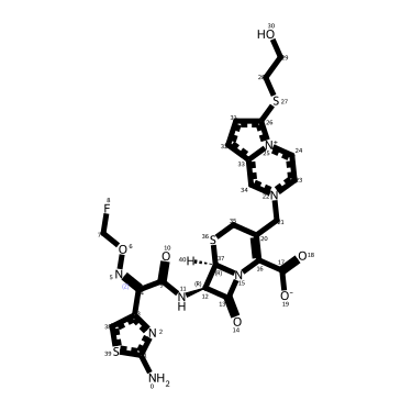 Nc1nc(/C(=N/OCF)C(=O)N[C@@H]2C(=O)N3C(C(=O)[O-])=C(Cn4cc[n+]5c(SCCO)ccc-5c4)CS[C@H]23)cs1